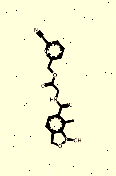 Cc1c(C(=O)NCC(=O)OCc2cccc(C#N)n2)ccc2c1B(O)OC2